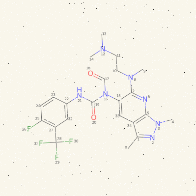 Cc1nn(C)c2nc(N(C)CCN(C)C)c(N(C=O)C(=O)Nc3ccc(F)c(C(F)(F)F)c3)cc12